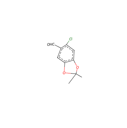 CC1(C)Oc2cc(Cl)c(C=O)cc2O1